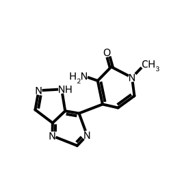 Cn1ccc(-c2ncnc3cn[nH]c23)c(N)c1=O